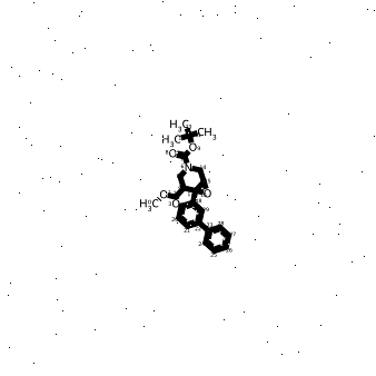 COC(=O)C1CN(C(=O)OC(C)(C)C)CC2OC21c1cccc(-c2ccccc2)c1